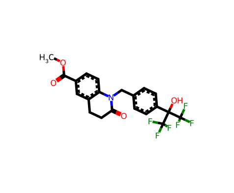 COC(=O)c1ccc2c(c1)CCC(=O)N2Cc1ccc(C(O)(C(F)(F)F)C(F)(F)F)cc1